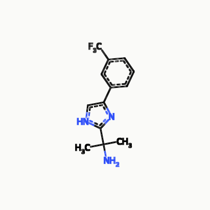 CC(C)(N)c1nc(-c2cccc(C(F)(F)F)c2)c[nH]1